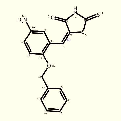 O=C1NC(=S)S/C1=C/c1cc([N+](=O)[O-])ccc1OCc1ccccc1